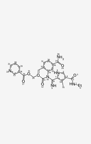 CCNC(=O)c1c[nH]c(C(=N)N(C(=O)OCOC(=O)c2cccnc2)c2cc(C(N)=O)ccc2C)c1C